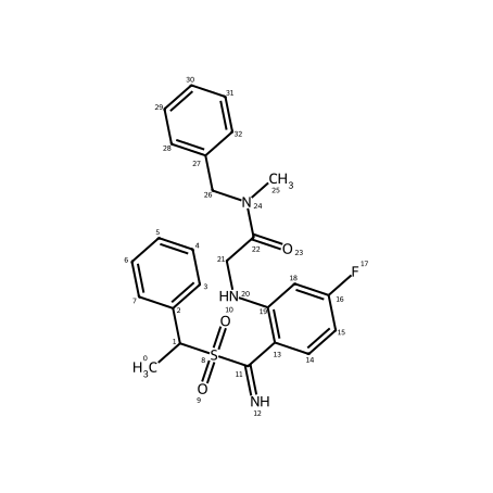 CC(c1ccccc1)S(=O)(=O)C(=N)c1ccc(F)cc1NCC(=O)N(C)Cc1ccccc1